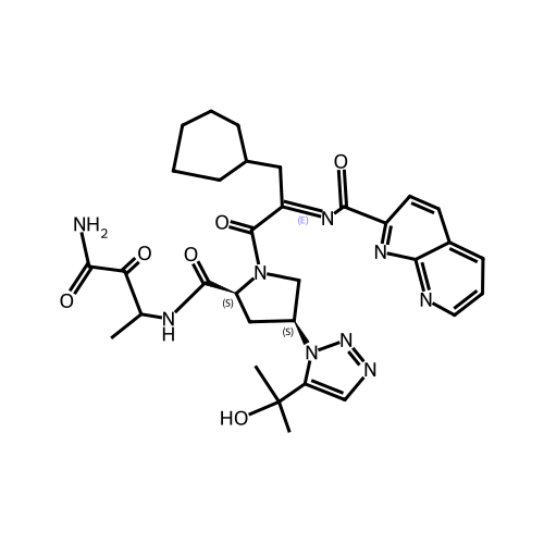 CC(NC(=O)[C@@H]1C[C@H](n2nncc2C(C)(C)O)CN1C(=O)/C(CC1CCCCC1)=N/C(=O)c1ccc2cccnc2n1)C(=O)C(N)=O